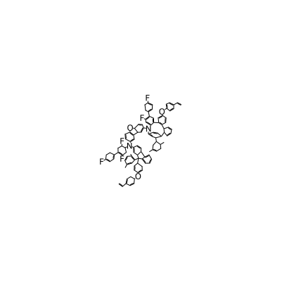 C=CC1=CCC(OC2=CCC(C3(c4cc(C)ccc4C)c4ccccc4C4C=CC(N(c5ccc6c(c5)C5C=C(N7C8=CC(C9CC(C)=CCC9C)C(C=C8)C8C=CC=CC8c8ccc(Oc9ccc(C=C)cc9)cc8-c8cc(C9=CC=C(F)CC9)c(F)cc87)C=CC5O6)C5CC(F)=C(C6=CC=C(F)CC6)CC5F)=CC43)C=C2)C=C1